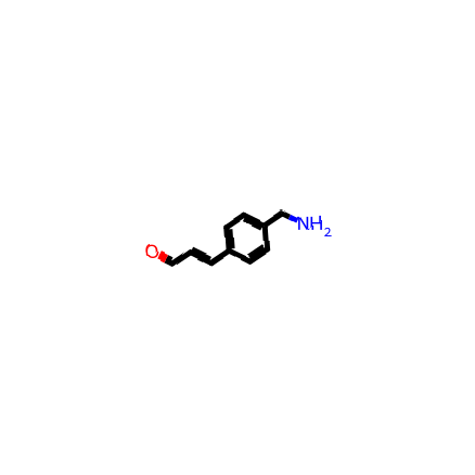 NCc1ccc(C=CC=O)cc1